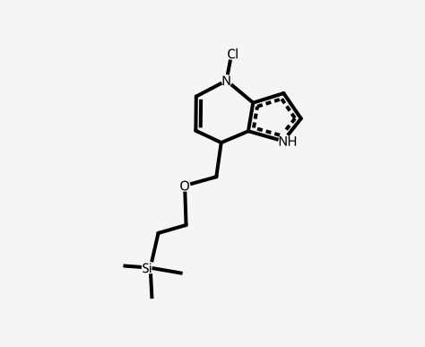 C[Si](C)(C)CCOCC1C=CN(Cl)c2cc[nH]c21